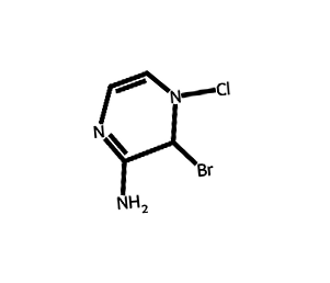 NC1=NC=CN(Cl)C1Br